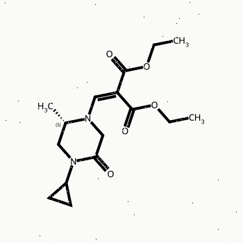 CCOC(=O)C(=CN1CC(=O)N(C2CC2)C[C@@H]1C)C(=O)OCC